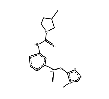 CC1CCN(C(=O)Nc2cccc([C@H](C)Sc3nncn3C)c2)C1